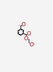 [O]CCOC(=O)c1cccc([C]=O)c1